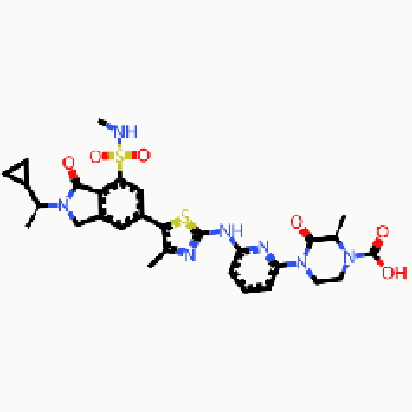 CNS(=O)(=O)c1cc(-c2sc(Nc3cccc(N4CCN(C(=O)O)[C@H](C)C4=O)n3)nc2C)cc2c1C(=O)N([C@@H](C)C1CC1)C2